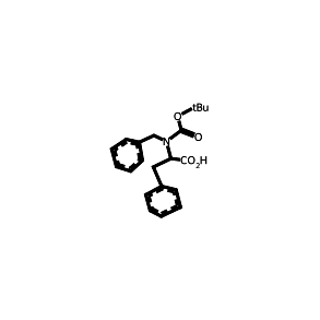 CC(C)(C)OC(=O)N(Cc1ccccc1)C(Cc1ccccc1)C(=O)O